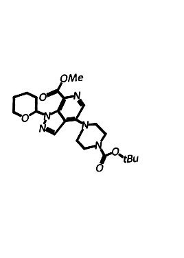 COC(=O)c1ncc(N2CCN(C(=O)OC(C)(C)C)CC2)c2cnn(C3CCCCO3)c12